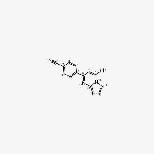 N#Cc1ccc(-c2cc(Cl)n3nccc3n2)cc1